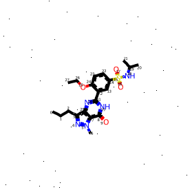 CCCc1nn(C)c2c(=O)[nH]c(-c3cc(S(=O)(=O)NC(C)C)ccc3OCC)nc12